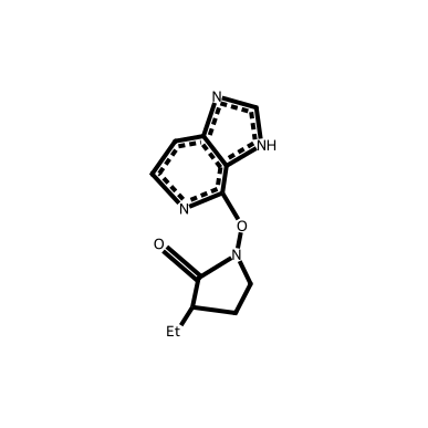 CCC1CCN(Oc2nccc3nc[nH]c23)C1=O